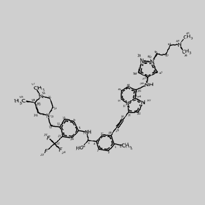 Cc1ccc(C(O)Nc2ccc(CN3CCN(C)[C@H](C)C3)c(C(F)(F)F)c2)cc1C#Cc1cnc2c(Nc3cnn(CCCN(C)C)c3)cccn12